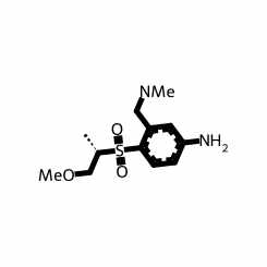 CNCc1cc(N)ccc1S(=O)(=O)[C@@H](C)COC